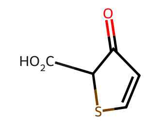 O=C(O)C1SC=CC1=O